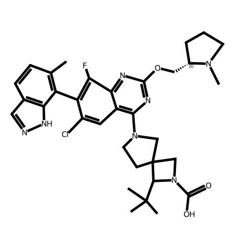 Cc1ccc2cn[nH]c2c1-c1c(Cl)cc2c(N3CCC4(C3)CN(C(=O)O)C4C(C)(C)C)nc(OC[C@@H]3CCCN3C)nc2c1F